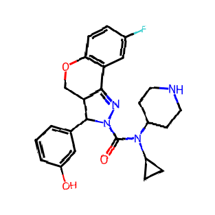 O=C(N1N=C2c3cc(F)ccc3OCC2C1c1cccc(O)c1)N(C1CCNCC1)C1CC1